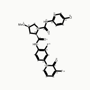 CO[C@@H]1C[C@H](C(=O)Nc2ccc(-n3cccc(F)c3=O)cc2F)N(C(=O)Nc2ccc(Cl)cn2)C1